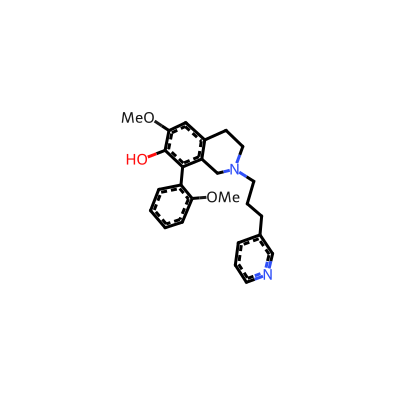 COc1ccccc1-c1c(O)c(OC)cc2c1CN(CCCc1cccnc1)CC2